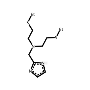 CCSCCN(CCSCC)Cc1ncc[nH]1